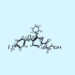 C[C@H](CO)NC(=O)c1ccc(Oc2ccc(C(F)(F)F)cc2)c(N2CCCCC2)n1